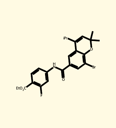 CCOC(=O)c1ccc(NC(=O)c2cc(Br)c3c(c2)C(C(C)C)=CC(C)(C)O3)cc1F